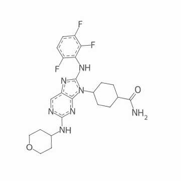 NC(=O)C1CCC(n2c(Nc3c(F)ccc(F)c3F)nc3cnc(NC4CCOCC4)nc32)CC1